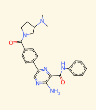 CN(C)C1CCN(C(=O)c2ccc(-c3cnc(N)c(C(=O)Nc4ccccc4)n3)cc2)C1